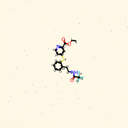 CCOC(=O)c1cc(Sc2ccccc2CCNC(=O)C(F)(F)F)ccn1